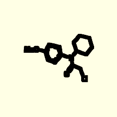 COc1ccc(N(C(=O)CCl)C2CCCCC2)cc1